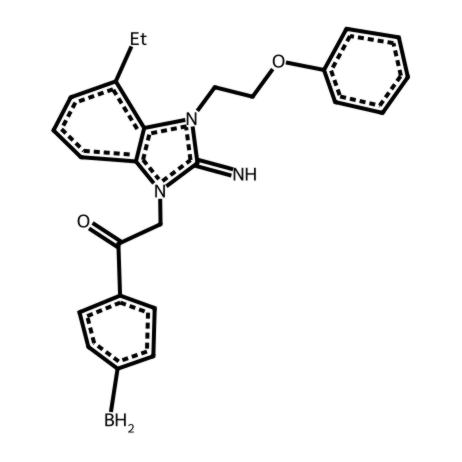 Bc1ccc(C(=O)Cn2c(=N)n(CCOc3ccccc3)c3c(CC)cccc32)cc1